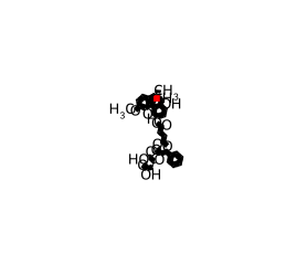 COc1ccc2c3c1O[C@H]1C(OC(=O)CCC(=O)O[C@H](C(=O)O[C@H](CC(=O)O)C(=O)O)c4ccccc4)=CC[C@@]4(O)[C@@H](C2)N(C)CC[C@]314